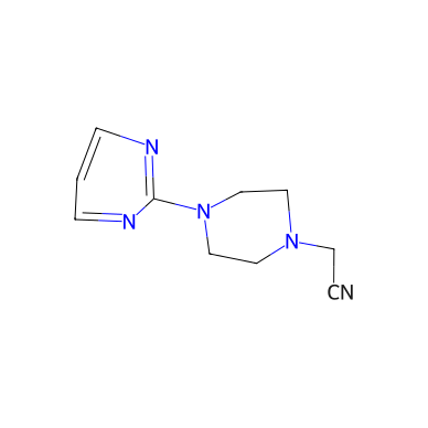 N#CCN1CCN(c2ncccn2)CC1